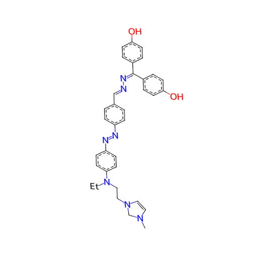 CCN(CCN1C=CN(C)C1)c1ccc(/N=N/c2ccc(/C=N/N=C(c3ccc(O)cc3)c3ccc(O)cc3)cc2)cc1